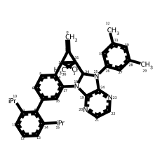 C=C1C2(C)c3ccc(-c4c(C(C)C)cccc4C(C)C)cc3N3c4nccnc4N(c4cc(C)cc(C)c4)C3C12C